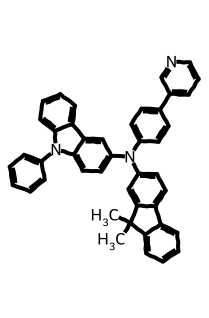 CC1(C)c2ccccc2-c2ccc(N(c3ccc(-c4cccnc4)cc3)c3ccc4c(c3)c3ccccc3n4-c3ccccc3)cc21